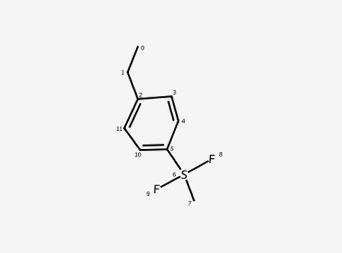 CCc1ccc(S(C)(F)F)cc1